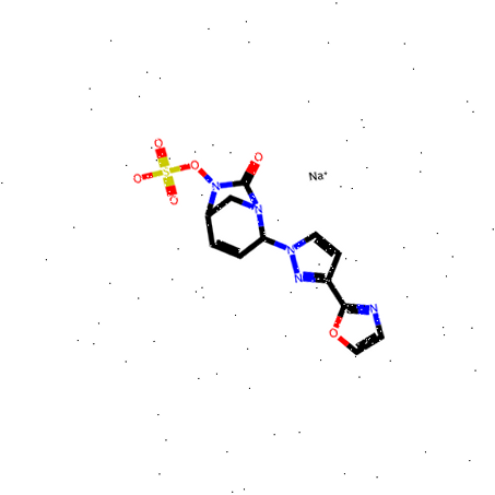 O=C1N2CC(C=CC2n2ccc(-c3ncco3)n2)N1OS(=O)(=O)[O-].[Na+]